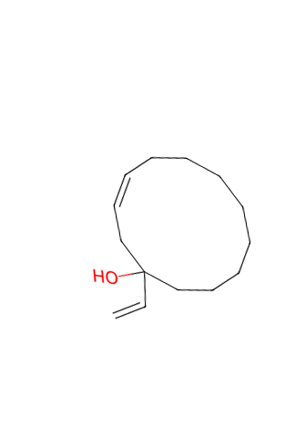 C=CC1(O)C/C=C\CCCCCCCC1